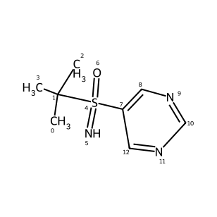 CC(C)(C)S(=N)(=O)c1cncnc1